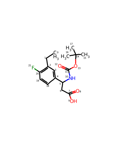 CCc1cc(C(CC(=O)O)NC(=O)OC(C)(C)C)ccc1F